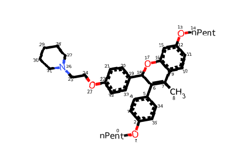 CCCCCOc1ccc(C2=C(C)c3ccc(OCCCCC)cc3OC2c2ccc(OCCN3CCCCC3)cc2)cc1